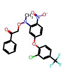 CN(OCC(=O)c1ccccc1)c1cc(Oc2ccc(C(F)(F)F)cc2Cl)ccc1[N+](=O)[O-]